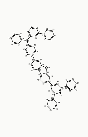 c1ccc(-c2cccc(N(c3ccccc3)c3ccc(-c4ccc5c(c4)oc4cc(-c6cc(-c7ccccc7)nc(-c7ccccc7)n6)ccc45)cc3)c2)cc1